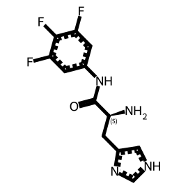 N[C@@H](Cc1c[nH]cn1)C(=O)Nc1cc(F)c(F)c(F)c1